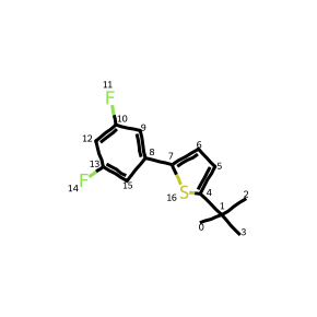 CC(C)(C)c1ccc(-c2cc(F)cc(F)c2)s1